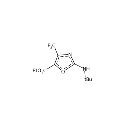 CCOC(=O)c1oc(NC(C)(C)C)nc1C(F)(F)F